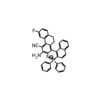 N#Cc1c(N)c([N+](=O)[O-])c(-c2c(P(=O)(c3ccccc3)c3ccccc3)ccc3ccccc23)c2c1-c1cc(F)ccc1CC2